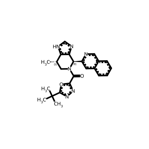 C[C@H]1CN(C(=O)c2nnc(C(C)(C)C)o2)[C@H](c2cc3ccccc3cn2)c2nc[nH]c21